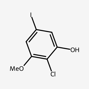 COc1cc(I)cc(O)c1Cl